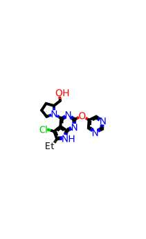 CCc1[nH]c2nc(Oc3cncnc3)nc(N3CCCC3CO)c2c1Cl